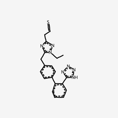 CCn1nc(CC=S)nc1Cc1ccc(-c2ccccc2-c2nnn[nH]2)cc1